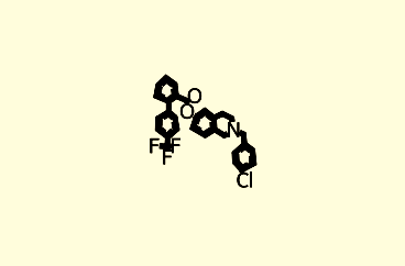 O=C(Oc1ccc2c(c1)CCN(Cc1ccc(Cl)cc1)C2)c1ccccc1-c1ccc(C(F)(F)F)cc1